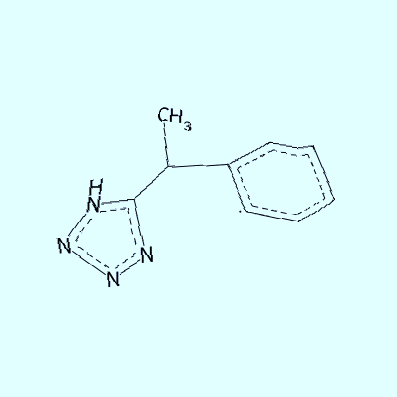 CC(c1[c]cccc1)c1nnn[nH]1